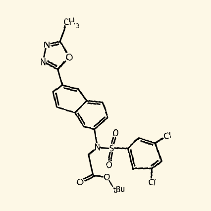 Cc1nnc(-c2ccc3cc(N(CC(=O)OC(C)(C)C)S(=O)(=O)c4cc(Cl)cc(Cl)c4)ccc3c2)o1